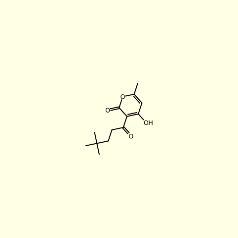 Cc1cc(O)c(C(=O)CCC(C)(C)C)c(=O)o1